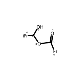 CCC(=O)OC(O)C(C)C